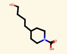 O=C(O)N1CCC(CCCCO)CC1